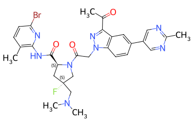 CC(=O)c1nn(CC(=O)N2C[C@@](F)(CN(C)C)C[C@H]2C(=O)Nc2nc(Br)ccc2C)c2ccc(-c3cnc(C)nc3)cc12